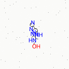 CC(=N)/C(Nc1ccc2c3cnccc3n(C)c2n1)=C(/C)NCCO